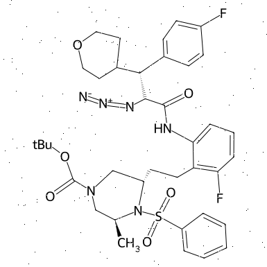 C[C@H]1CN(C(=O)OC(C)(C)C)C[C@H](CCc2c(F)cccc2NC(=O)C(N=[N+]=[N-])[C@@H](c2ccc(F)cc2)C2CCOCC2)N1S(=O)(=O)c1ccccc1